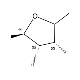 CC1O[C@H](C)[C@@H](C)[C@H]1C